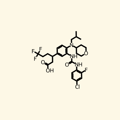 CC(C)CN(c1ccc(C(CCC(F)(F)F)CC(=O)O)cc1NC(=O)Nc1ccc(Cl)cc1F)C1CCOCC1